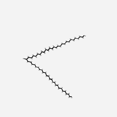 [CH2]C(CCCCCCCCCCCCCCCCCCCCCCCCCC)CCCCCCCCCCCCCCCCCCCCCCCCCCC